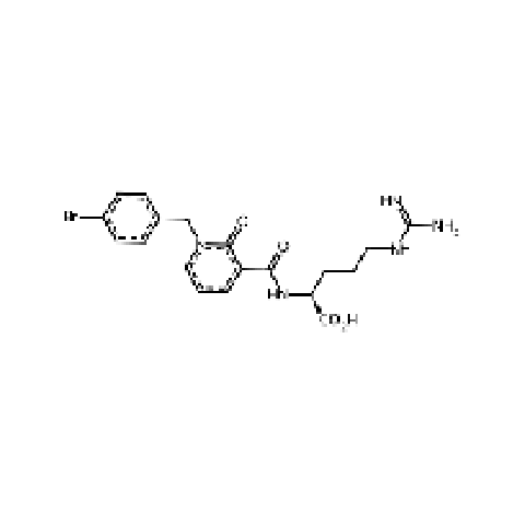 N=C(N)NCCC[C@H](NC(=O)c1cccn(Cc2ccc(Br)cc2)c1=O)C(=O)O